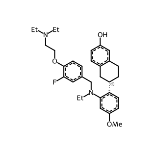 CCN(CC)CCOc1ccc(CN(CC)c2cc(OC)ccc2[C@H]2CCc3cc(O)ccc3C2)cc1F